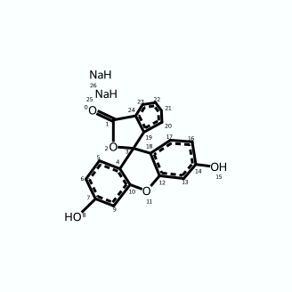 O=C1OC2(c3ccc(O)cc3Oc3cc(O)ccc32)c2ccccc21.[NaH].[NaH]